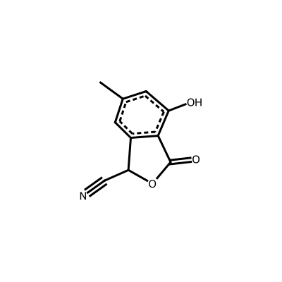 Cc1cc(O)c2c(c1)C(C#N)OC2=O